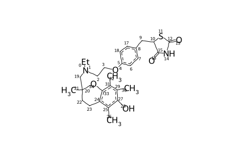 CCN(CCOc1ccc(CC2SC(=O)NC2=O)cc1)CC1(C)CCc2c(C)c(O)c(C)c(C)c2O1